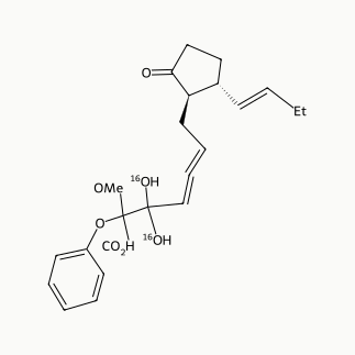 CC/C=C/[C@H]1CCC(=O)[C@@H]1CC=C=CC([16OH])([16OH])C(OC)(Oc1ccccc1)C(=O)O